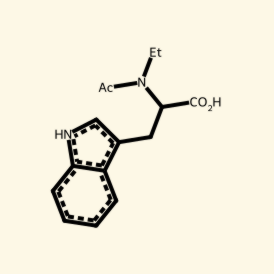 CCN(C(C)=O)C(Cc1c[nH]c2ccccc12)C(=O)O